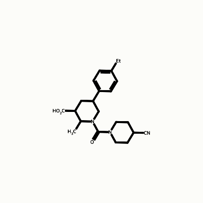 CCc1ccc(C2CC(C(=O)O)C(C)N(C(=O)N3CCC(C#N)CC3)C2)cc1